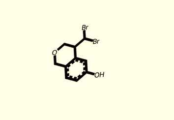 Oc1ccc2c(c1)C(C(Br)Br)COC2